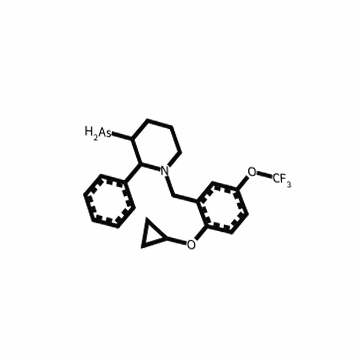 FC(F)(F)Oc1ccc(OC2CC2)c(CN2CCCC([AsH2])C2c2ccccc2)c1